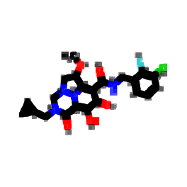 COC1CN2CN(CC3CC3)C(=O)c3c(O)c(=O)c(C(=O)NCc4cccc(Cl)c4F)c1n32